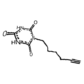 C#CCCCCn1c(=O)[nH]c(=O)[nH]c1=O